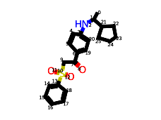 CC(Nc1ccc(C(=O)CS(=O)(=O)c2ccccc2)cc1)C1CCCC1